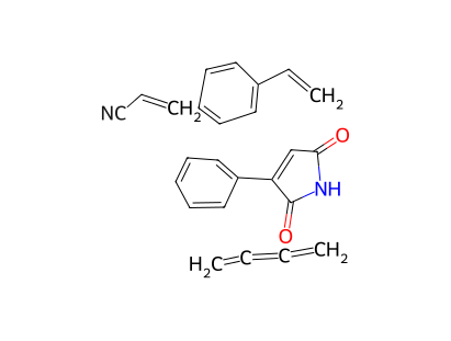 C=C=C=C.C=CC#N.C=Cc1ccccc1.O=C1C=C(c2ccccc2)C(=O)N1